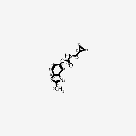 Cc1nc2cc(OC(=O)NCC3CC3)ccc2s1